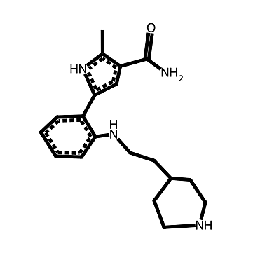 Cc1[nH]c(-c2ccccc2NCCC2CCNCC2)cc1C(N)=O